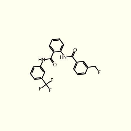 O=C(Nc1ccccc1C(=O)Nc1cccc(C(F)(F)F)c1)c1cccc(CF)c1